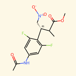 COC(=O)C(C)[C@@H](C[N+](=O)[O-])c1c(F)cc(NC(C)=O)cc1F